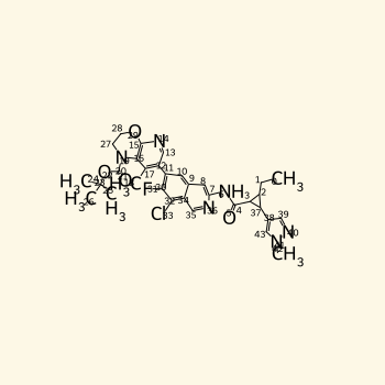 CCC1C(C(=O)Nc2cc3cc(-c4cnc5c(c4C)N(C(=O)OC(C)(C)C)CCO5)c(F)c(Cl)c3cn2)C1c1cnn(C)c1